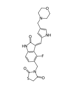 O=C1Nc2ccc(CN3C(=O)CSC3=O)c(F)c2C1=Cc1cc(CN2CCOCC2)c[nH]1